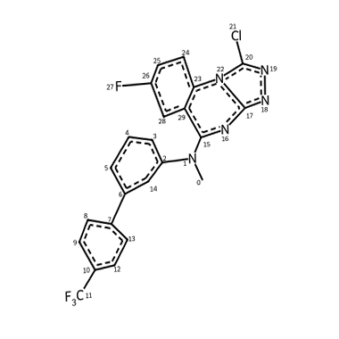 CN(c1cccc(-c2ccc(C(F)(F)F)cc2)c1)c1nc2nnc(Cl)n2c2ccc(F)cc12